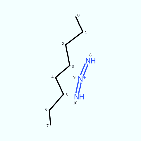 CCCCCCCC.N=[N+]=N